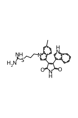 Cc1ccc2c(C3=C(c4c[nH]c5ccccc45)C(=O)NC3=O)cn(CCCSC(=N)N)c2c1